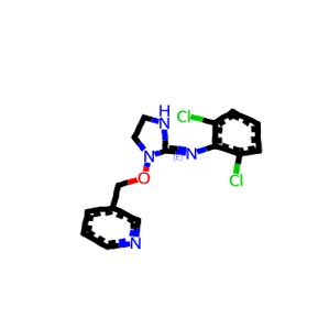 Clc1cccc(Cl)c1/N=C1\NCCN1OCc1cccnc1